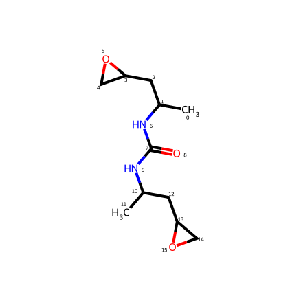 CC(CC1CO1)NC(=O)NC(C)CC1CO1